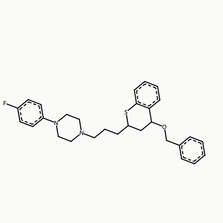 Fc1ccc(N2CCN(CCCC3CC(OCc4ccccc4)c4ccccc4S3)CC2)cc1